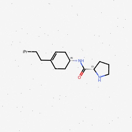 CC(C)CCC1=CC[C@H](NC(=O)[C@@H]2CCCN2)CC1